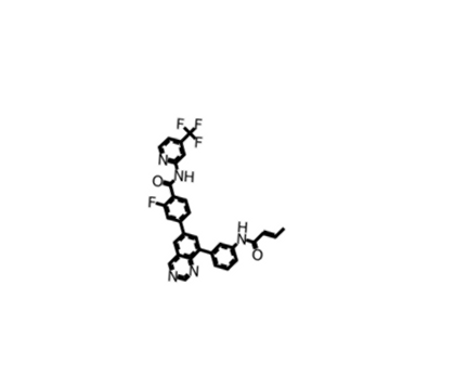 C/C=C/C(=O)Nc1cccc(-c2cc(-c3ccc(C(=O)Nc4cc(C(F)(F)F)ccn4)c(F)c3)cc3cncnc23)c1